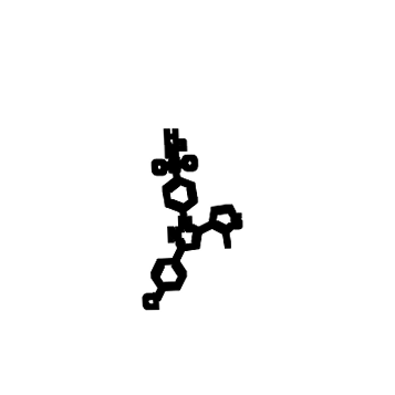 Cc1sccc1-c1cc(-c2ccc(Cl)cc2)nn1-c1ccc(S(N)(=O)=O)cc1